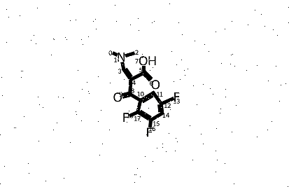 CN(C)C=C(C(=O)O)C(=O)c1cc(F)cc(F)c1F